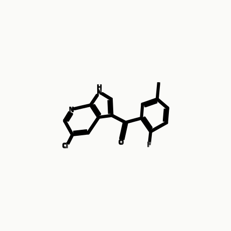 Cc1ccc(F)c(C(=O)c2c[nH]c3ncc(Cl)cc23)c1